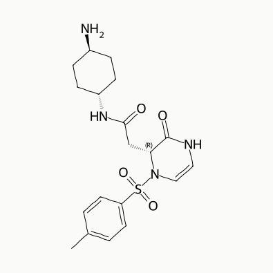 Cc1ccc(S(=O)(=O)N2C=CNC(=O)[C@H]2CC(=O)N[C@H]2CC[C@H](N)CC2)cc1